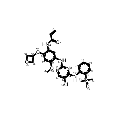 C=CC(=O)Nc1cc(Nc2ncc(Cl)c(Nc3ccccc3P(C)(C)=O)n2)c(OC)cc1OC1COC1